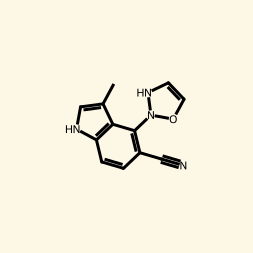 Cc1c[nH]c2ccc(C#N)c(N3NC=CO3)c12